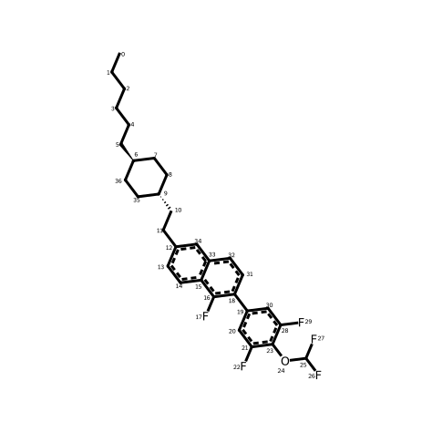 CCCCCC[C@H]1CC[C@H](CCc2ccc3c(F)c(-c4cc(F)c(OC(F)F)c(F)c4)ccc3c2)CC1